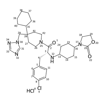 Cl.O=C([C@@H](Cc1ccc(Cl)cc1)NC1CCC(N2CCOC2=O)CC1)N1CCC(Cn2cncn2)(C2CCCCC2)CC1